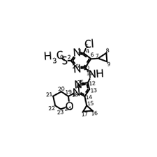 CSc1nc(Cl)c(C2CC2)c(Nc2cc(C3CC3)n(C3CCCCO3)n2)n1